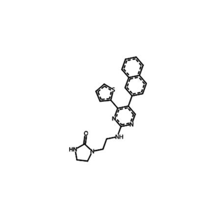 O=C1NCCN1CCNc1ncc(-c2ccc3ccccc3c2)c(-c2cccs2)n1